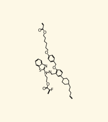 C=CCCCC1CCC(c2ccc(OCc3ccc(OCCCCCCOC(=O)C=C)cc3)c(/C=N/N(CCCOC(=O)C(=C)F)c3nc4ccccc4s3)c2)CC1